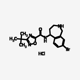 CC(C)(C)c1noc(C(=O)NC2CCNCc3cc(Br)ccc32)n1.Cl